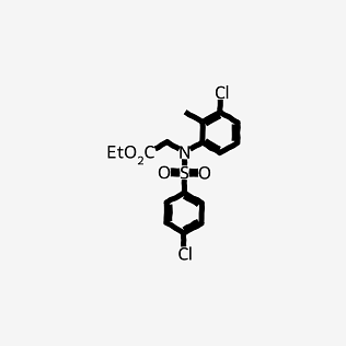 CCOC(=O)CN(c1cccc(Cl)c1C)S(=O)(=O)c1ccc(Cl)cc1